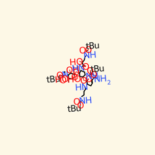 CN(C(=O)OC(C)(C)C)[C@@H]1[C@@H](O)[C@@H](O[C@@H]2[C@@H](O)[C@H](O[C@H]3OC(CN)=CC[C@H]3NCCCCNC(=O)OC(C)(C)C)[C@@H](NC(=O)OC(C)(C)C)C[C@H]2NC(=O)[C@@H](O)CCNC(=O)OC(C)(C)C)OC[C@]1(C)O